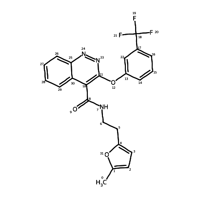 Cc1ccc(CCNC(=O)c2c(Oc3cccc(C(F)(F)F)c3)nnc3ccccc23)o1